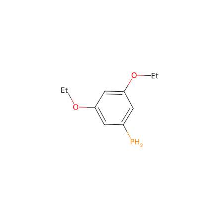 CCOc1cc(P)cc(OCC)c1